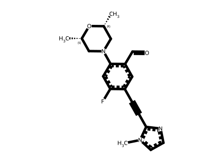 C[C@@H]1CN(c2cc(F)c(C#Cc3nccn3C)cc2C=O)C[C@H](C)O1